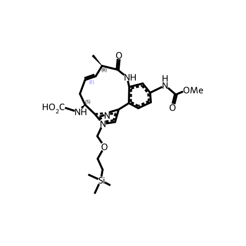 COC(=O)Nc1ccc2c(c1)NC(=O)[C@H](C)/C=C/C[C@H](NC(=O)O)c1nc-2cn1COCC[Si](C)(C)C